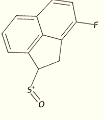 O=[S+]C1Cc2c(F)ccc3cccc1c23